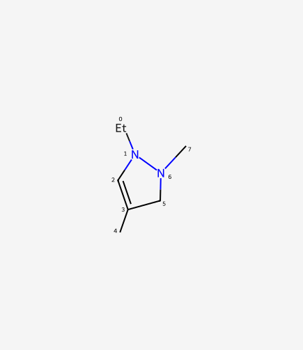 CCN1C=C(C)CN1C